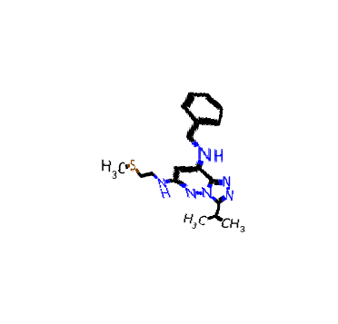 CSCCNc1cc(NCc2ccccc2)c2nnc(C(C)C)n2n1